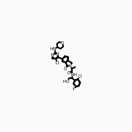 CC(C(=O)NC(CO)c1cc(F)ccc1Cl)N1Cc2ccc(-c3nc(NC4CCOCC4)ncc3Cl)cc2C1=O